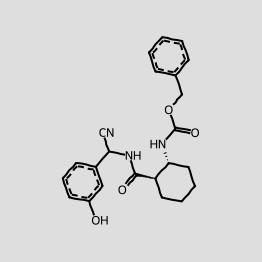 N#CC(NC(=O)[C@@H]1CCCC[C@H]1NC(=O)OCc1ccccc1)c1cccc(O)c1